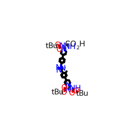 Cc1cc(C2=CCN(/C(=N\C(=O)OC(C)(C)C)NC(=O)OC(C)(C)C)CC2)ccc1-c1nnc(-c2ccc(C3=CCN(/C(=N\C(=O)OC(C)(C)C)NC(=O)O)CC3)cc2)n1C